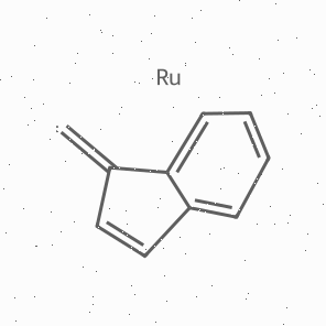 [C]=C1C=Cc2ccccc21.[Ru]